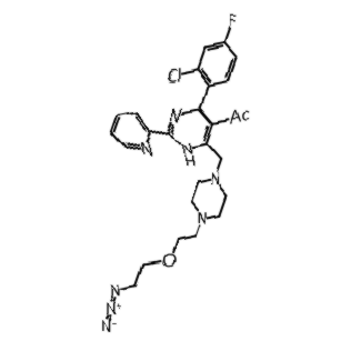 CC(=O)C1=C(CN2CCN(CCOCCN=[N+]=[N-])CC2)NC(c2ccccn2)=NC1c1ccc(F)cc1Cl